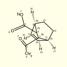 CC(=O)[C@H]1[C@@H](C(=O)O)[C@H]2C=C[C@@H]1CC2